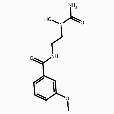 COc1cccc(C(=O)NCCN(O)C(N)=O)c1